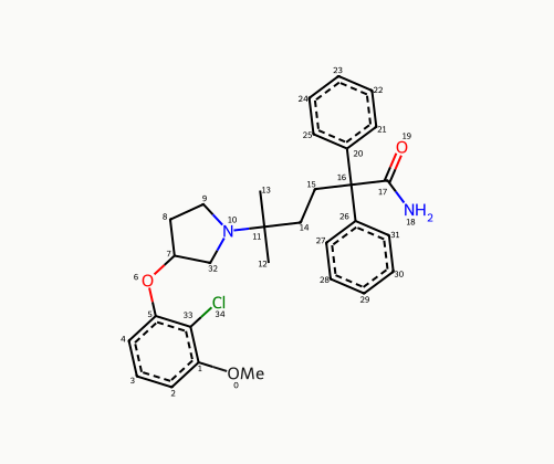 COc1cccc(OC2CCN(C(C)(C)CCC(C(N)=O)(c3ccccc3)c3ccccc3)C2)c1Cl